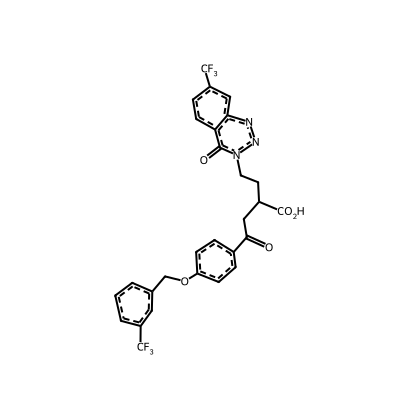 O=C(CC(CCn1nnc2cc(C(F)(F)F)ccc2c1=O)C(=O)O)c1ccc(OCc2cccc(C(F)(F)F)c2)cc1